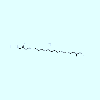 Cl.Cl.NCC(=O)CCSCCCCCCCCCCSCCC(=O)CN